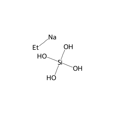 C[CH2][Na].O[Si](O)(O)O